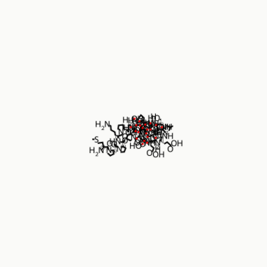 CSCC[C@H](N)C(=O)N1CCC[C@H]1C(=O)N1CCC[C@H]1C(=O)N[C@@H](CCCCN)C(=O)N1CCC[C@H]1C(=O)N[C@@H](CC(=O)O)C(=O)N[C@@H](CC(N)=O)C(=O)N1CCC[C@H]1C(=O)N[C@@H](CO)C(=O)N1CCC[C@H]1C(=O)N[C@@H](CC(=O)O)C(=O)N[C@@H](C)C(=O)N[C@@H](CO)C(=O)N1CCC[C@H]1C(=O)N[C@@H](CCC(=O)O)C(=O)N[C@@H](CCC(=O)O)C(=O)N[C@@H](CC(C)C)C(=O)N[C@@H](CO)C(=O)N[C@@H](CCCCN)C(=O)O